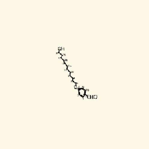 O=Cc1ccc(OCCCCCCCCCCCCO)cc1